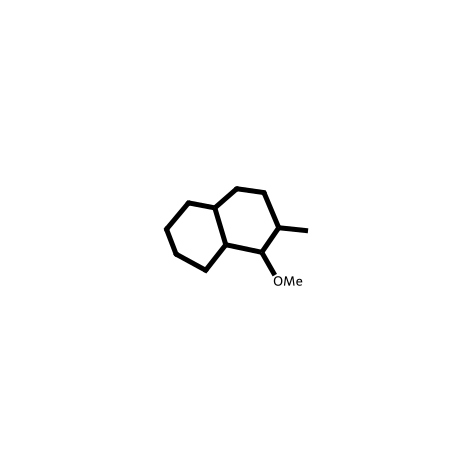 COC1C(C)CCC2CCCCC21